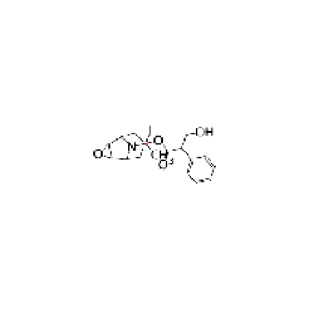 CC(I)N1C2CC(OC(=O)C(CO)c3ccccc3)CC1C1OC12